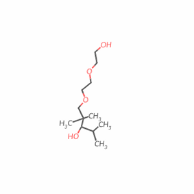 CC(C)C(O)C(C)(C)COCCOCCO